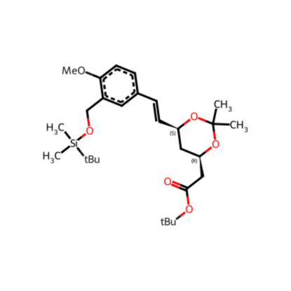 COc1ccc(C=C[C@@H]2C[C@H](CC(=O)OC(C)(C)C)OC(C)(C)O2)cc1CO[Si](C)(C)C(C)(C)C